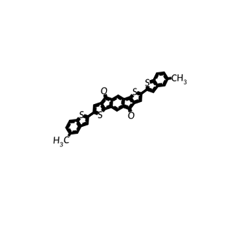 Cc1ccc2sc(-c3cc4c(=O)c5cc6c(cc5c4s3)c(=O)c3cc(-c4cc5cc(C)ccc5s4)sc36)cc2c1